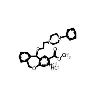 COC(=O)c1ccc2c(c1)C(SCCN1CCN(c3ccccc3)CC1)c1ccccc1CO2.Cl.Cl